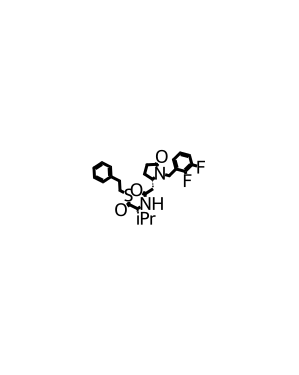 CC(C)[C@H](NC(=O)C[C@@H]1CCC(=O)N1Cc1cccc(F)c1F)C(=O)SCCc1ccccc1